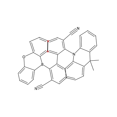 CC1(C)c2ccccc2N(c2c(C#N)cccc2-c2cccc(C#N)c2B2c3ccccc3Oc3ccccc32)c2ccccc21